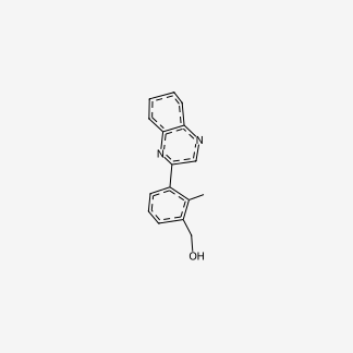 Cc1c(CO)cccc1-c1cnc2ccccc2n1